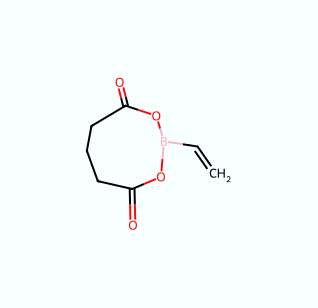 C=CB1OC(=O)CCCC(=O)O1